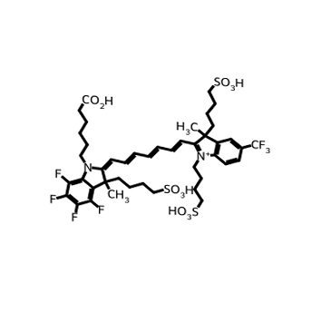 CC1(CCCCS(=O)(=O)O)C(/C=C/C=C/C=C/C=C2/N(CCCCCC(=O)O)c3c(F)c(F)c(F)c(F)c3C2(C)CCCCS(=O)(=O)O)=[N+](CCCCS(=O)(=O)O)c2ccc(C(F)(F)F)cc21